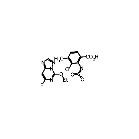 CCOc1nc(F)cc2ncnn12.Cc1ccc(C(=O)O)c(N=S(=O)=O)c1Cl